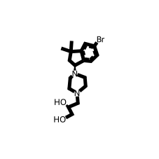 CC1(C)C[C@H](N2CCN(C[C@H](O)CO)CC2)c2ccc(Br)cc21